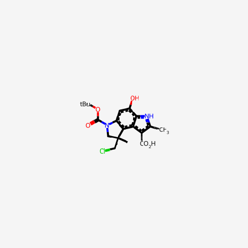 CC(C)(C)OC(=O)N1CC(C)(CCl)c2c1cc(O)c1[nH]c(C(F)(F)F)c(C(=O)O)c21